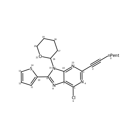 CCCCCC#Cc1nc(Cl)c2nc(-c3cccs3)n(C3CCCCO3)c2n1